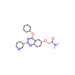 CN(C)C(=O)COc1ccc2nc(-c3cccnc3)nc(Oc3ccccc3)c2c1